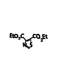 CCOC(=O)c1ncsc1C(=O)OCC